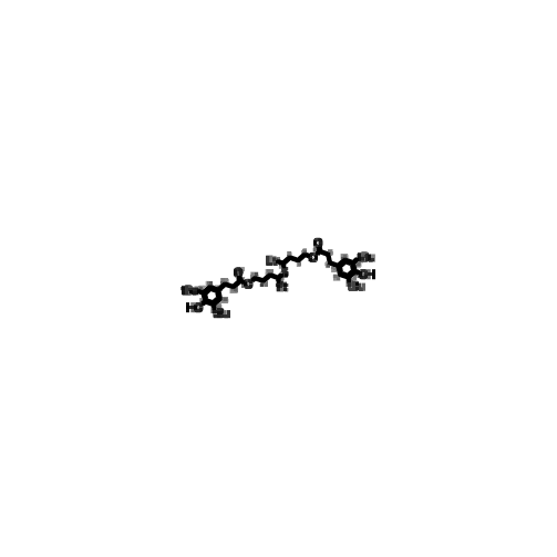 CCC(CCCOC(=O)CCc1cc(C(C)(C)C)c(O)c(C(C)(C)C)c1)SC(CC)CCCOC(=O)CCc1cc(C(C)(C)C)c(O)c(C(C)(C)C)c1